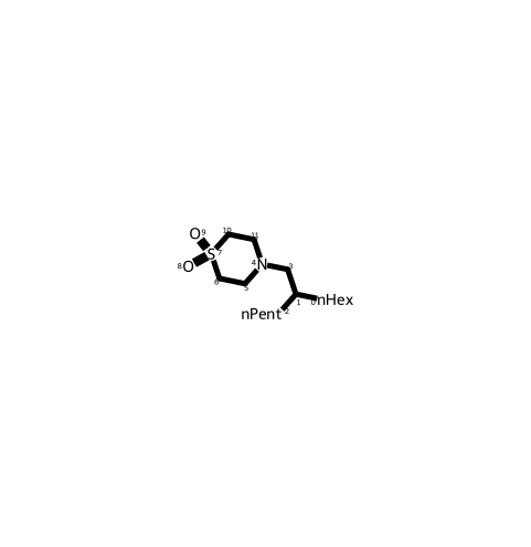 CCCCCCC(CCCCC)CN1CCS(=O)(=O)CC1